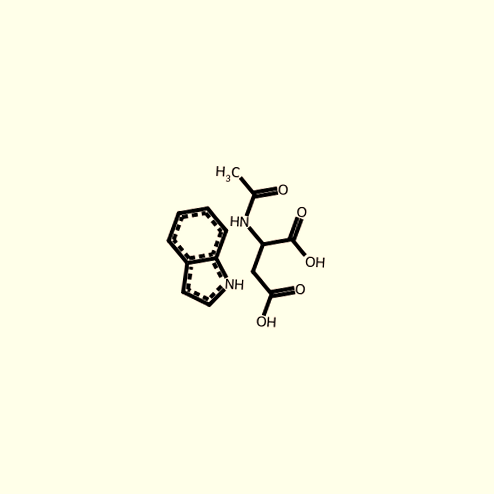 CC(=O)NC(CC(=O)O)C(=O)O.c1ccc2[nH]ccc2c1